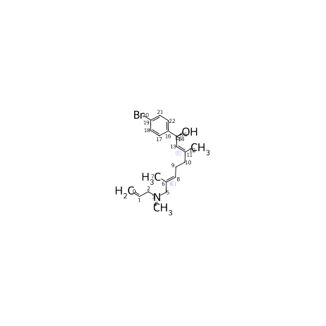 C=CCN(C)C/C(C)=C/CC/C(C)=C/[C@H](O)c1ccc(Br)cc1